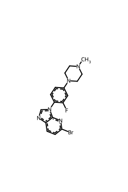 CN1CCN(c2ccc(-n3cnc4ccc(Br)nc43)c(F)c2)CC1